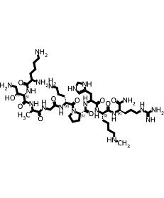 CNCCCC[C@H](NC(=O)C(CC1=CNCN1)NC(=O)[C@@H]1CCCN1C(=O)[C@@H](CCCN)NC(=O)CNC(=O)C(C)NC(=O)[C@@H](NC(=O)C(N)CCCCN)[C@@H](O)CN)C(=O)N[C@H](CCCNC(=N)N)C(N)=O